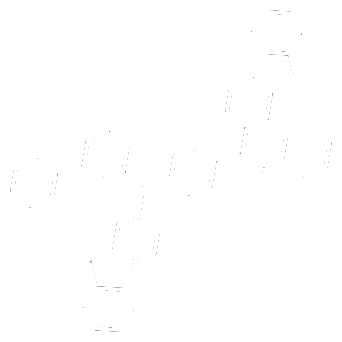 CC1(C)c2ccccc2-c2ccc(N(c3ccc(-c4nc5ccccc5c5c4ccc4c6ccccc6oc45)cc3)c3cccc(-c4ccccc4)c3)cc21